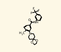 Cc1ccc(C(=O)Nc2cccc(C(F)(F)F)c2)cc1N1CCC2(CC1)OCCO2